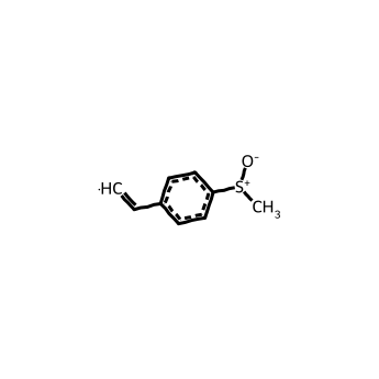 [CH]=Cc1ccc([S+](C)[O-])cc1